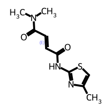 Cc1csc(NC(=O)/C=C/C(=O)N(C)C)n1